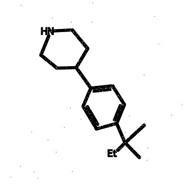 CCC(C)(C)c1ccc(C2CCNCC2)cc1